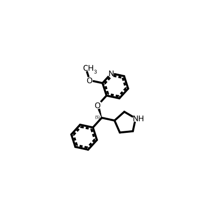 COc1ncccc1O[C@H](c1ccccc1)C1CCNC1